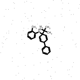 Cc1ccccc1NC1(C(C)(C)C)C=CC(c2ccccc2)C=C1